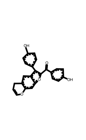 O=C(c1ccc(O)cc1)c1oc2cc3c(cc2c1-c1ccc(O)cc1)CC=CO3